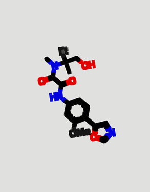 CCC(C)(CO)N(C)C(=O)C(=O)Nc1ccc(-c2cnco2)c(OC)c1